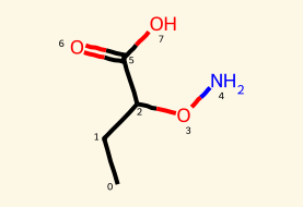 CCC(ON)C(=O)O